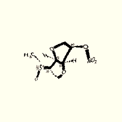 C[S@@+]([O-])[C@H]1CO[C@H]2[C@@H]1OC[C@H]2O[N+](=O)[O-]